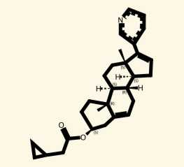 C[C@]12CC[C@H](OC(=O)CC3CC3)CC1=CC[C@@H]1[C@@H]2CC[C@]2(C)C(c3cccnc3)=CC[C@@H]12